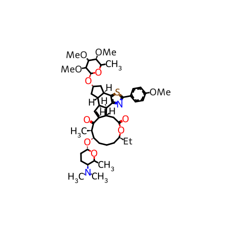 CC[C@H]1CCC[C@H](O[C@H]2CC[C@H](N(C)C)C(C)O2)[C@@H](C)C(=O)C2=C[C@H]3[C@@H]4C[C@H](O[C@@H]5OC(C)[C@H](OC)C(OC)C5OC)C[C@H]4c4sc(-c5ccc(OC)cc5)nc4[C@H]3[C@@H]2CC(=O)O1